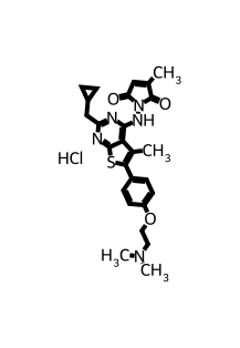 CC1=CC(=O)N(Nc2nc(CC3CC3)nc3sc(-c4ccc(OCCN(C)C)cc4)c(C)c23)C1=O.Cl